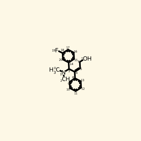 CN(C)C(C(=CCO)c1ccccc1)c1cccc(F)c1